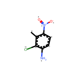 Cc1c([N+](=O)[O-])ccc(N)c1Cl